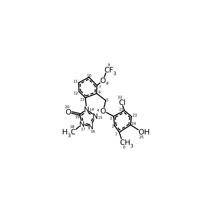 Cc1cc(OCc2c(OC(F)(F)F)cccc2-n2nnn(C)c2=O)c(Cl)cc1O